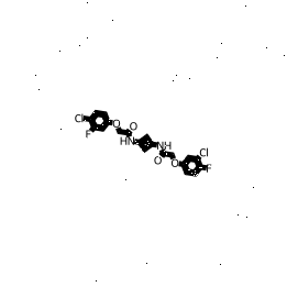 O=C(COc1ccc(Cl)c(F)c1)NC12CC(NC(=O)COc3ccc(F)c(Cl)c3)(C1)C2